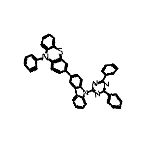 c1ccc(-c2nc(-c3ccccc3)nc(-n3c4ccccc4c4cc(-c5ccc6c(c5)Sc5ccccc5N6c5ccccc5)ccc43)n2)cc1